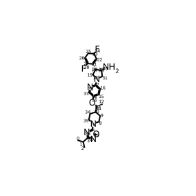 CC(C)c1noc(N2CCC([C@H](C)Oc3ccc(N4C[C@H](C5=CC(F)CC=C5F)[C@@H](N)C4)nc3)CC2)n1